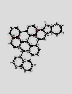 c1ccc(-c2ccccc2-c2c3ccccc3c(-c3cccc4ccccc34)c3cccc(-c4ccc5oc6ccccc6c5c4)c23)cc1